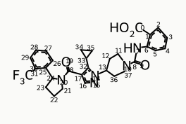 O=C(O)c1ccccc1NC(=O)N1CCC(n2ncc(C(=O)N3CCCC3c3ccccc3C(F)(F)F)c2C2CC2)CC1